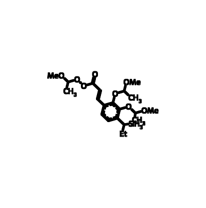 CCC([SiH3])c1ccc(C=CC(=O)OOC(C)OC)c(OC(C)OC)c1OC(C)OC